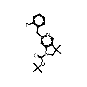 CC(C)(C)OC(=O)N1CC(C)(C)c2cnc(Cc3ccccc3F)cc21